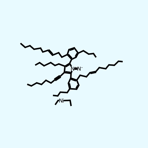 CCCCCCC#CC1=C(c2cc(CCCC)ccc2CCC=CCCCCCC)[N+](=[N-])C(c2cc(CCCC)ccc2CCC=CCCCCCC)=C1CCCCCC.C[CH2][Ni][CH2]C